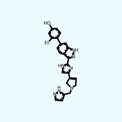 CCc1cc(O)ccc1-c1ccc2c(-c3nc(C4=CCN(Cc5ccn[nH]5)C4)c[nH]3)n[nH]c2c1